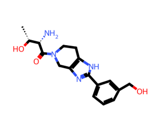 C[C@@H](O)[C@H](N)C(=O)N1CCc2[nH]c(-c3cccc(CO)c3)nc2C1